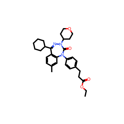 CCOC(=O)CCc1ccc(N2C(=O)N(C3CCOCC3)N=C(C3CCCCC3)c3ccc(C)cc32)cc1